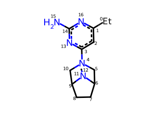 CCc1cc(N2CC3CCC(C2)N3C)nc(N)n1